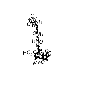 COc1c(C)c2c(c(O)c1C/C=C(\C)CC(C/C(C)=C/COC(=O)NCCNC(=O)CCCc1nc3c(=O)n(C)c(=O)n(C)c3[nH]1)C(=O)O)C(=O)OC2